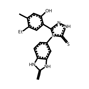 C=C1Nc2ccc(-n3c(-c4cc(CC)c(C)cc4O)n[nH]c3=S)cc2N1